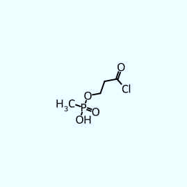 CP(=O)(O)OCCC(=O)Cl